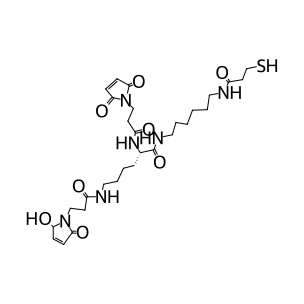 O=C(CCS)NCCCCCCNC(=O)[C@H](CCCCNC(=O)CCN1C(=O)C=CC1O)NC(=O)CCN1C(=O)C=CC1=O